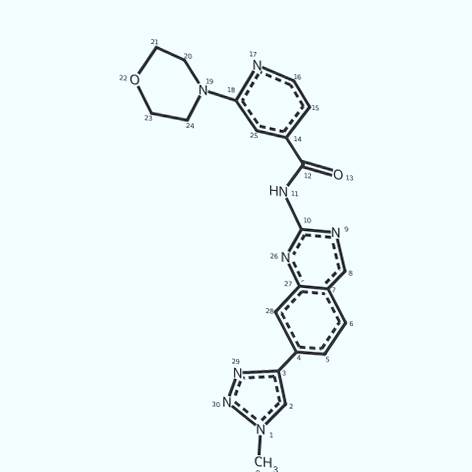 Cn1cc(-c2ccc3cnc(NC(=O)c4ccnc(N5CCOCC5)c4)nc3c2)nn1